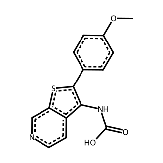 COc1ccc(-c2sc3cnccc3c2NC(=O)O)cc1